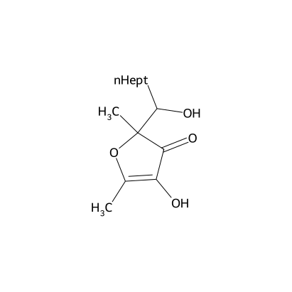 CCCCCCCC(O)C1(C)OC(C)=C(O)C1=O